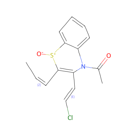 C/C=C\C1=C(/C=C/Cl)N(C(C)=O)c2ccccc2[S+]1[O-]